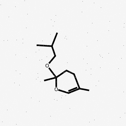 CC1=COC(C)(OCC(C)C)CC1